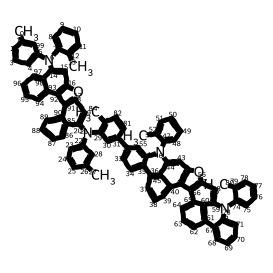 Cc1cccc(N(c2ccccc2C)c2cc3oc4cc(N(c5cccc(C)c5)c5cc(-c6ccc7c8cccc9c%10c(cc(c89)n(-c8ccccc8C)c7c6)oc6cc7c8c(cccc8c6%10)c6ccccc6n7-c6ccccc6C)ccc5C)c5ccccc5c4c3c3ccccc23)c1